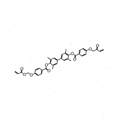 C=CC(=O)COc1ccc(C(=O)Oc2c(C)cc(-c3cc(C)c(OC(=O)c4ccc(OCOC(=O)C=C)cc4)c(C)c3)cc2C)cc1